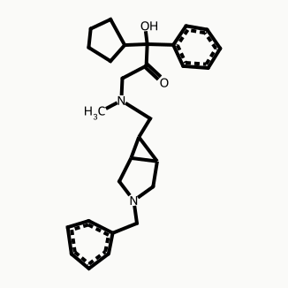 CN(CC(=O)C(O)(c1ccccc1)C1CCCC1)CC1C2CN(Cc3ccccc3)CC12